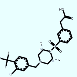 C[C@@H]1CN(Cc2ccc(C(F)(F)F)c(Cl)c2)C[C@H](C)N1S(=O)(=O)c1cccc(CC(=O)O)c1